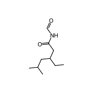 CCC(CC(=O)NC=O)CC(C)C